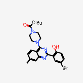 Cc1ccc2c(N3CCN(C(=O)OCC(C)C)CC3)nc(-c3cc(C(C)C)ccc3O)nc2c1